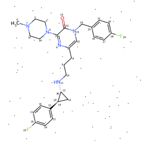 CN1CCN(c2nc(CCCN[C@@H]3C[C@H]3c3ccc(F)cc3)cn(Cc3ccc(F)cc3)c2=O)CC1